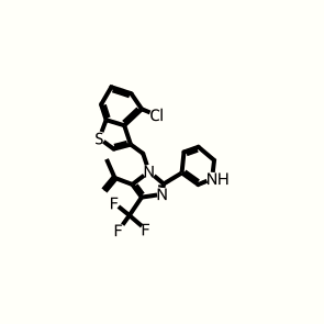 C=C(C)c1c(C(F)(F)F)nc(C2=CNCC=C2)n1Cc1csc2cccc(Cl)c12